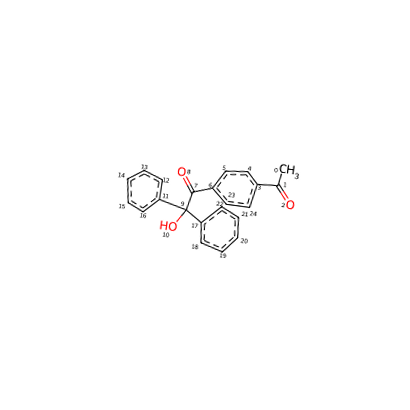 CC(=O)c1ccc(C(=O)C(O)(c2ccccc2)c2ccccc2)cc1